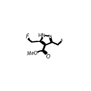 COC(=O)c1c(CF)n[nH]c1CF